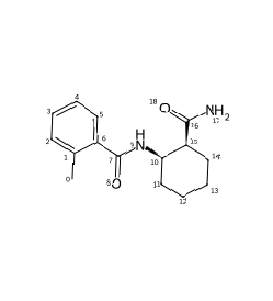 Cc1ccccc1C(=O)N[C@@H]1CCCC[C@@H]1C(N)=O